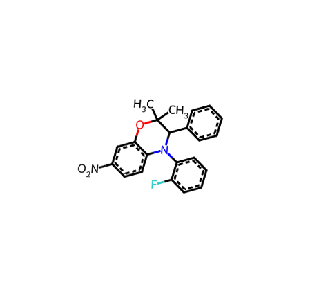 CC1(C)Oc2cc([N+](=O)[O-])ccc2N(c2ccccc2F)C1c1ccccc1